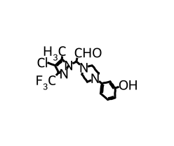 Cc1c(Cl)c(C(F)(F)F)nn1C(C=O)N1CCN(c2cccc(O)c2)CC1